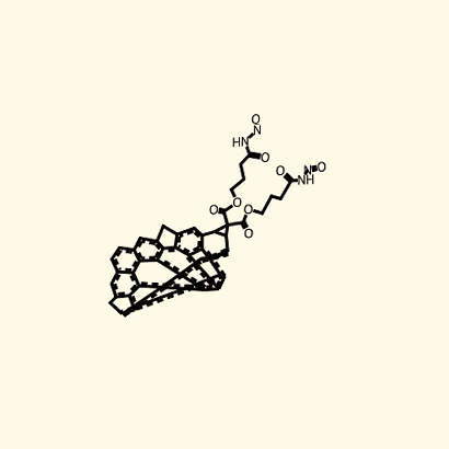 O=NNC(=O)CCCOC(=O)C1(C(=O)OCCCC(=O)NN=O)C2c3cc4c5c6c(cc7ccc8cc9c%10c%11c(cc(c%12c3c5c(c%12%11)c3c6c7c8c%103)C21)C9)C4